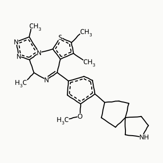 COc1cc(C2=NC(C)c3nnc(C)n3-c3sc(C)c(C)c32)ccc1C1CCC2(CCNC2)CC1